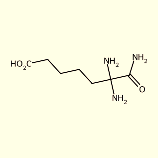 NC(=O)C(N)(N)CCCCC(=O)O